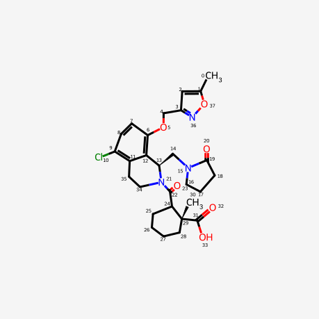 Cc1cc(COc2ccc(Cl)c3c2[C@@H](CN2CCCC2=O)N(C(=O)C2CCCC[C@@]2(C)C(=O)O)CC3)no1